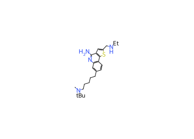 CCNCc1cc2c(N)nc3cc(CCCCCN(C)C(C)(C)C)ccc3c2s1